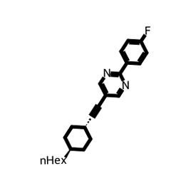 CCCCCC[C@H]1CC[C@H](C#Cc2cnc(-c3ccc(F)cc3)nc2)CC1